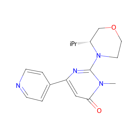 CC(C)[C@@H]1COCCN1c1nc(-c2ccncc2)cc(=O)n1C